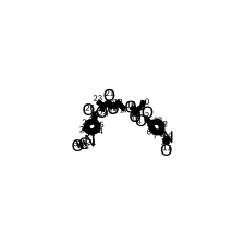 CC(OC(=O)c1ccc(N=C=O)cc1)C(=O)OCCOC(=O)C(C)OC(=O)c1ccc(N=C=O)cc1